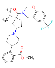 COC(=O)c1ccccc1C1CCN([C@@H]2CC[C@@](C(=O)N3COc4ccc(C(F)(F)F)cc4C3)(C(C)C)C2)CC1